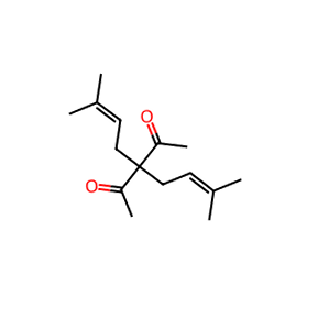 CC(=O)C(CC=C(C)C)(CC=C(C)C)C(C)=O